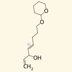 C=CC(O)/C=C/CCCOC1CCCCO1